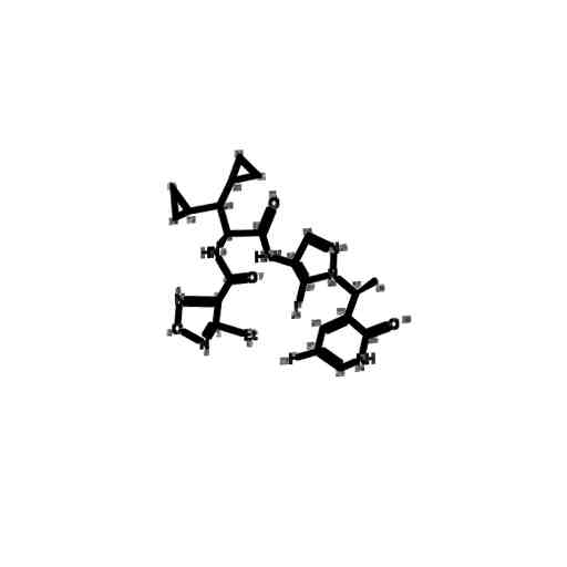 CCc1nonc1C(=O)N[C@H](C(=O)Nc1cnn([C@@H](C)c2cc(F)c[nH]c2=O)c1F)C(C1CC1)C1CC1